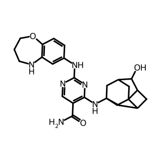 NC(=O)c1cnc(Nc2ccc3c(c2)NCCCO3)nc1NC12CC3CC4(C1)C(CC4C3O)C2